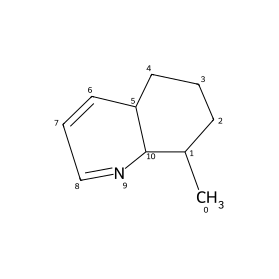 CC1CCCC2C=CC=NC12